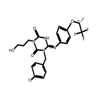 C[C@@H](Oc1ccc(/N=c2\[nH]c(=O)n(CCCO)c(=O)n2Cc2ccc(Cl)cc2)cc1)C(F)(F)F